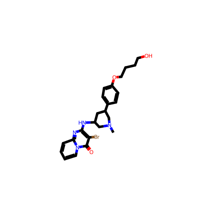 CN1CC(Nc2nc3ccccn3c(=O)c2Br)CC(c2ccc(OCCCCO)cc2)C1